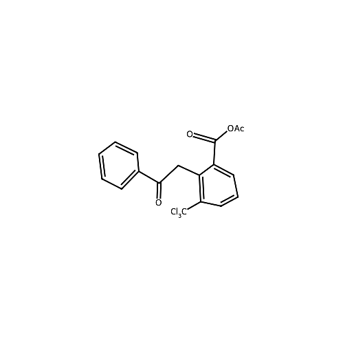 CC(=O)OC(=O)c1cccc(C(Cl)(Cl)Cl)c1CC(=O)c1ccccc1